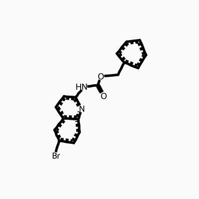 O=C(Nc1ccc2cc(Br)ccc2n1)OCc1ccccc1